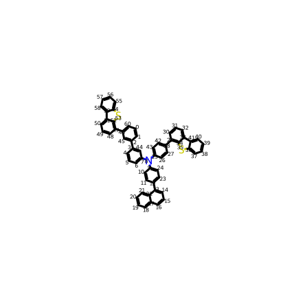 c1cc(-c2cccc(N(c3ccc(-c4cccc5ccccc45)cc3)c3ccc(-c4cccc5c4sc4ccccc45)cc3)c2)cc(-c2cccc3c2sc2ccccc23)c1